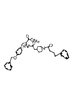 COC(=O)[C@H](Cc1ccc(OCc2ccccc2)cc1)NC(=O)CC1CCN(C(=O)CCCc2ccccc2)CC1